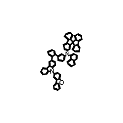 c1cc(-c2ccccc2-c2ccc3c(c2)c2ccccc2n3-c2ccc3oc4ccccc4c3c2)cc(N(c2ccc3c(c2)C2(c4ccccc4-c4ccccc42)c2ccccc2-3)c2cccc3ccccc23)c1